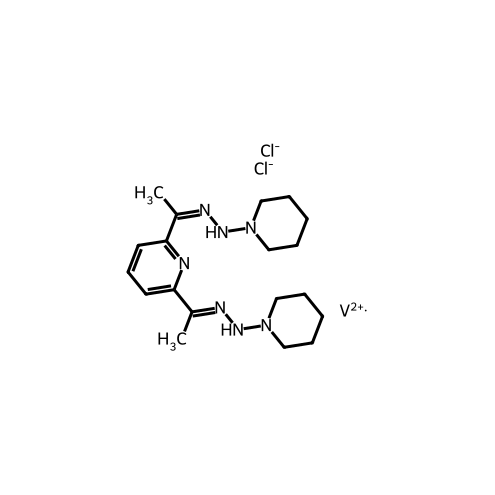 CC(=NNN1CCCCC1)c1cccc(C(C)=NNN2CCCCC2)n1.[Cl-].[Cl-].[V+2]